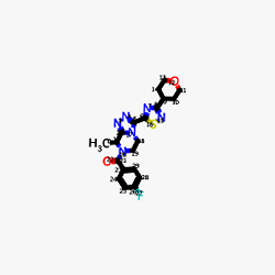 CC1c2nnc(-c3nc(C4CCOCC4)ns3)n2CCN1C(=O)c1ccc(F)cc1